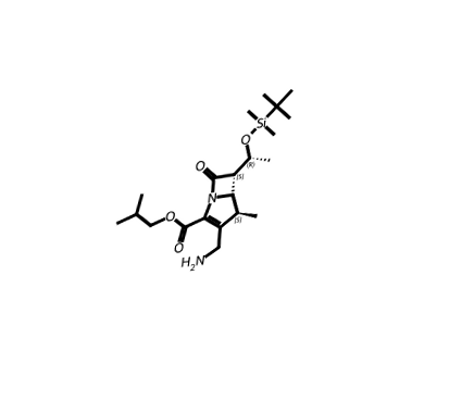 CC(C)COC(=O)C1=C(CN)[C@H](C)C2[C@@H]([C@@H](C)O[Si](C)(C)C(C)(C)C)C(=O)N12